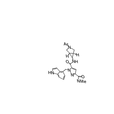 CNC(=O)c1cc(C(=O)N[C@H]2[C@@H]3CN(C(C)=O)C[C@@H]32)n(Cc2cccc3[nH]ccc23)n1